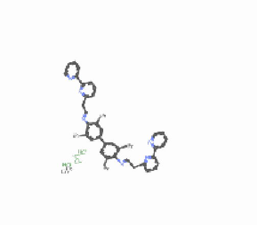 CC(C)c1cc(-c2cc(C(C)C)c(N=CCc3cccc(-c4ccccn4)n3)c(C(C)C)c2)cc(C(C)C)c1N=CCc1cccc(-c2ccccn2)n1.Cl.Cl.Cl.Cl.[Co].[Co]